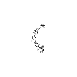 Cc1nc(OCCCS(C)(=O)=O)ccc1-c1ccc(F)c(COc2ccc3c(c2)C[C@H]2[C@H](C(=O)O)[C@@H]32)c1